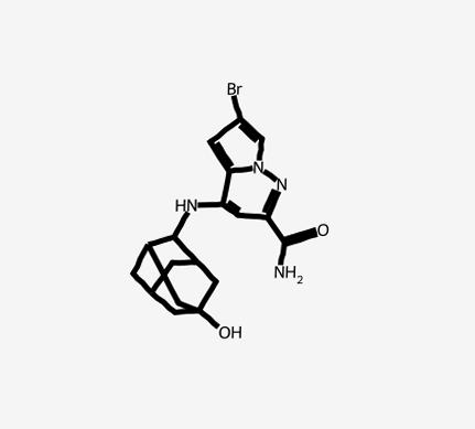 NC(=O)c1cc(NC2C3CC4CC2CC(O)(C4)C3)c2cc(Br)cn2n1